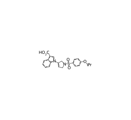 CC(C)Oc1ccc(S(=O)(=O)N2CC=C(n3cc(C(=O)O)c4ccccc43)C2)cc1